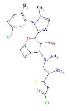 Cc1nnc(C2OC3COC3C(N(N)/C=C(\N)c3nc(Cl)cs3)C2O)n1-c1cc(Cl)ccc1C(F)(F)F